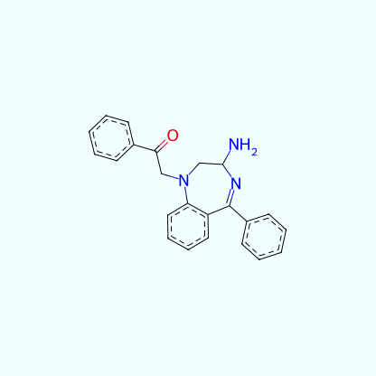 NC1CN(CC(=O)c2ccccc2)c2ccccc2C(c2ccccc2)=N1